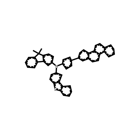 CC1(C)c2ccccc2-c2cc(N(c3ccc(-c4ccc5c(ccc6c7ccccc7ccc56)c4)cc3)c3ccc4sc5ccccc5c4c3)ccc21